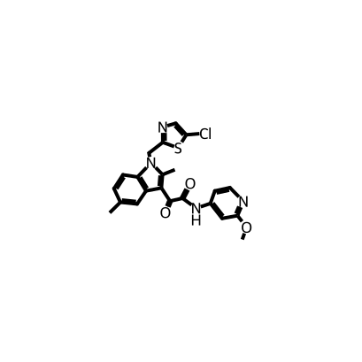 COc1cc(NC(=O)C(=O)c2c(C)n(Cc3ncc(Cl)s3)c3ccc(C)cc23)ccn1